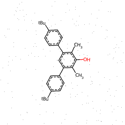 Cc1c(-c2ccc(C(C)(C)C)cc2)[c]c(-c2ccc(C(C)(C)C)cc2)c(C)c1O